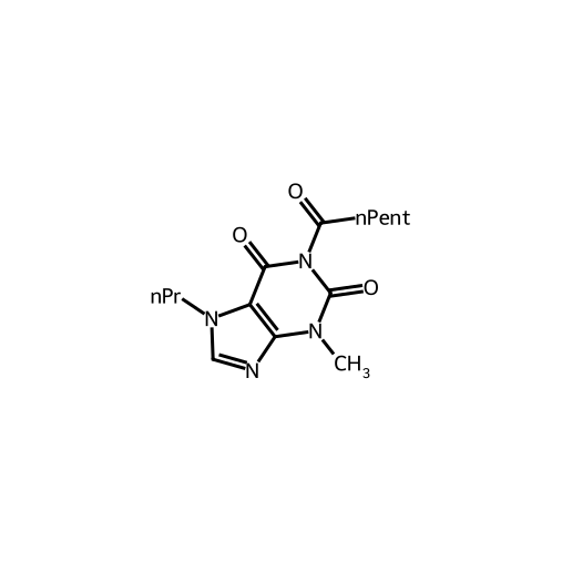 CCCCCC(=O)n1c(=O)c2c(ncn2CCC)n(C)c1=O